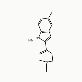 Br.CN1CC=C(c2cc3cc(F)ccc3[nH]2)CC1